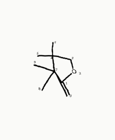 C=C1OCC(C)(C)C1(C)C